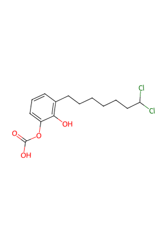 O=C(O)Oc1cccc(CCCCCCC(Cl)Cl)c1O